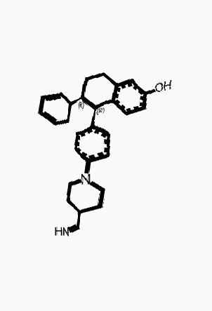 N=CC1CCN(c2ccc([C@@H]3c4ccc(O)cc4CC[C@@H]3C3C=CC=CC3)cc2)CC1